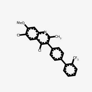 COc1cc2nc(C)c(-c3ccc(-c4ccccc4C(F)(F)F)cc3)c(Cl)c2cc1Cl